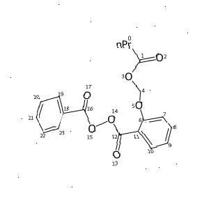 CCCC(=O)OCOc1ccccc1C(=O)OOC(=O)c1ccccc1